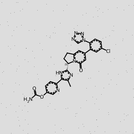 Cc1nc([C@@H]2CCc3cc(-c4cc(Cl)ccc4-n4cnnn4)cc(=O)n32)[nH]c1-c1ccc(OC(N)=O)cn1